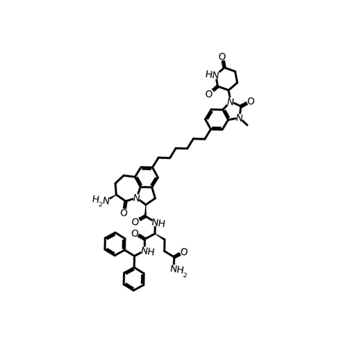 Cn1c(=O)n(C2CCC(=O)NC2=O)c2ccc(CCCCCCc3cc4c5c(c3)C[C@@H](C(=O)N[C@@H](CCC(N)=O)C(=O)NC(c3ccccc3)c3ccccc3)N5C(=O)[C@@H](N)CC4)cc21